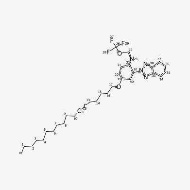 CCCCCCCCCCCCCCCCCCOc1ccc(/N=C\OC(F)(F)F)c(-n2nc3ccccc3n2)c1